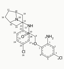 Nc1cc(Cl)ccc1OCC(=O)NC1CC2CCC(C1)N2Cc1ccc(Cl)cc1